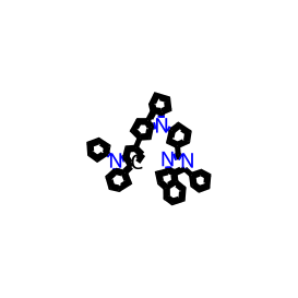 c1ccc(-c2nc(-c3cccc(-n4c5ccccc5c5ccc(-c6ccc7c8ccccc8n(-c8ccccc8)c7c6)cc54)c3)nc3ccc4ccccc4c23)cc1